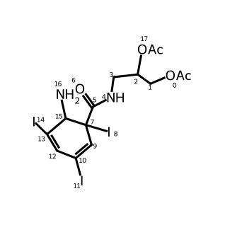 CC(=O)OCC(CNC(=O)C1(I)C=C(I)C=C(I)C1N)OC(C)=O